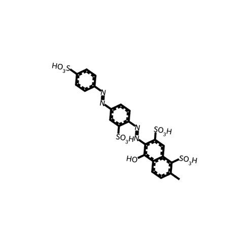 Cc1ccc2c(O)c(N=Nc3ccc(N=Nc4ccc(S(=O)(=O)O)cc4)cc3S(=O)(=O)O)c(S(=O)(=O)O)cc2c1S(=O)(=O)O